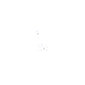 Cc1nc2c(o1)CN(CCc1nc3c4ccc5c(c4nc(N)n3n1)OC(F)(F)O5)CC2